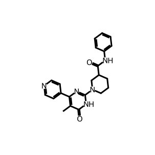 Cc1c(-c2ccncc2)nc(N2CCCC(C(=O)Nc3ccccc3)C2)[nH]c1=O